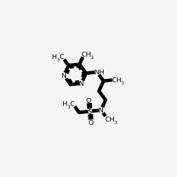 CCS(=O)(=O)N(C)CCC(C)Nc1ncnc(C)c1C